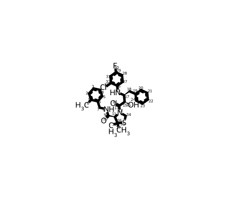 Cc1ccccc1CNC(=O)[C@H]1N(C(=O)[C@@H](O)[C@H](Cc2ccccc2)Nc2ccc(F)cc2Cl)CSC1(C)C